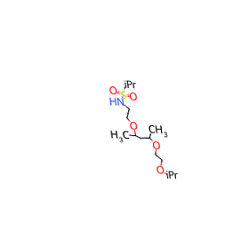 CC(C)OCCOC(C)CC(C)OCCNS(=O)(=O)C(C)C